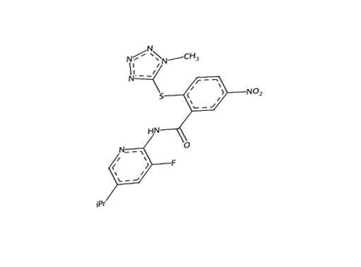 CC(C)c1cnc(NC(=O)c2cc([N+](=O)[O-])ccc2Sc2nnnn2C)c(F)c1